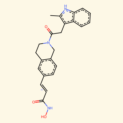 Cc1[nH]c2ccccc2c1CC(=O)N1CCc2cc(/C=C/C(=O)NO)ccc2C1